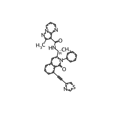 Cc1nn2cccnc2c1C(=O)N[C@H](C)c1cc2cccc(C#Cc3cscn3)c2c(=O)n1-c1ccccc1